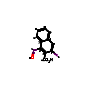 O=Ic1c(C(=O)O)c(I)cc2ccccc12